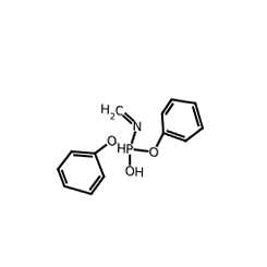 C=N[PH](O)(Oc1ccccc1)Oc1ccccc1